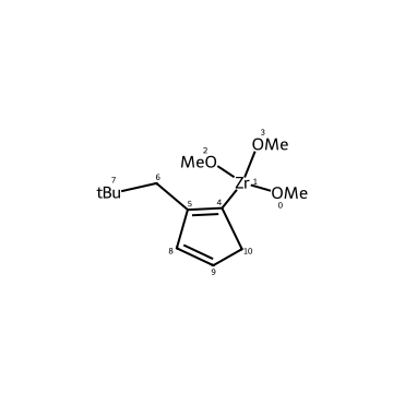 C[O][Zr]([O]C)([O]C)[C]1=C(CC(C)(C)C)C=CC1